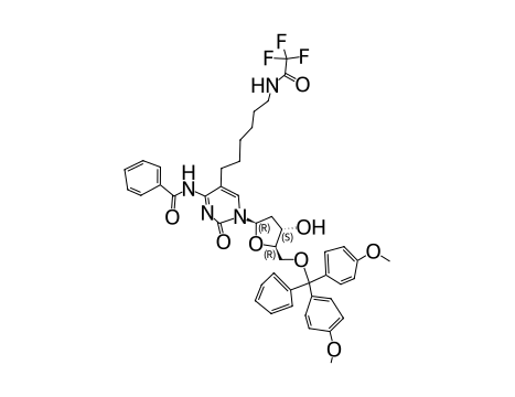 COc1ccc(C(OC[C@H]2O[C@@H](n3cc(CCCCCCNC(=O)C(F)(F)F)c(NC(=O)c4ccccc4)nc3=O)C[C@@H]2O)(c2ccccc2)c2ccc(OC)cc2)cc1